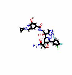 COc1cc(C(=O)NC[C@@](O)(c2cc3c(c(-c4cc(Cl)c(F)cc4F)n2)OC[C@]3(C)C(N)=O)c2cnn[nH]2)cc2cn(C3CC3)nc12